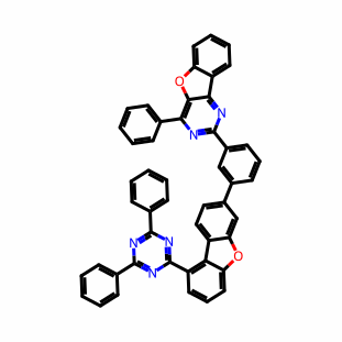 c1ccc(-c2nc(-c3ccccc3)nc(-c3cccc4oc5cc(-c6cccc(-c7nc(-c8ccccc8)c8oc9ccccc9c8n7)c6)ccc5c34)n2)cc1